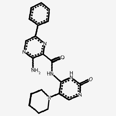 Nc1ncc(-c2ccccc2)nc1C(=O)Nc1[nH]c(=O)ncc1N1CCCCC1